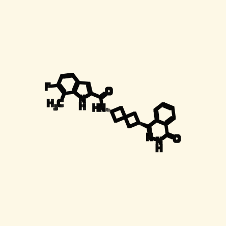 Cc1c(F)ccc2cc(C(=O)N[C@H]3CC4(C3)C[C@H](c3n[nH]c(=O)c5ccccc53)C4)[nH]c12